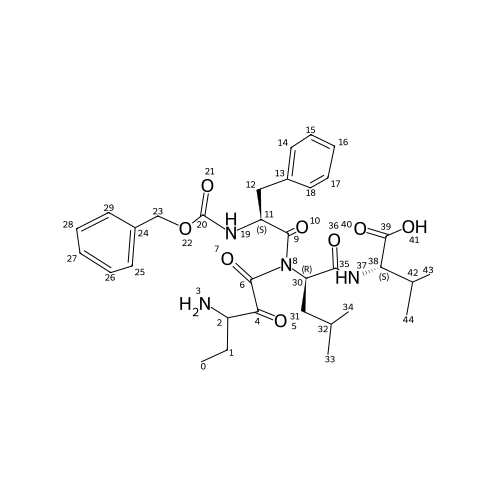 CCC(N)C(=O)C(=O)N(C(=O)[C@H](Cc1ccccc1)NC(=O)OCc1ccccc1)[C@H](CC(C)C)C(=O)N[C@H](C(=O)O)C(C)C